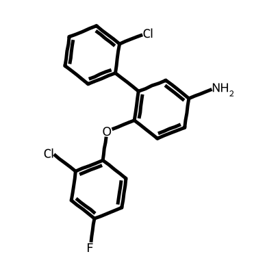 Nc1ccc(Oc2ccc(F)cc2Cl)c(-c2ccccc2Cl)c1